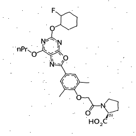 CCCOc1nc(OC2CCCCC2F)nc2oc(-c3cc(C)c(OCC(=O)N4CCC[C@H]4C(=O)O)c(C)c3)nc12